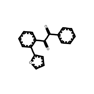 O=C(C(=O)c1ccccc1-c1ccco1)c1ccccc1